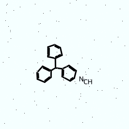 C#N.c1ccc(C(c2ccccc2)c2ccccc2)cc1